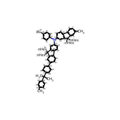 CCCCCCC1(CCCCCC)c2cc(C)ccc2-c2ccc(N(c3ccc(C(C)CC)cc3)c3ccc4c(c3)C(CCCCCC)(CCCCCC)c3cc(-c5ccc(C(C)(C)c6ccc(C)cc6)cc5)ccc3-4)cc21